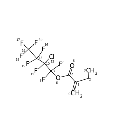 C=C(CC)C(=O)OC(F)(F)C(F)(Cl)C(F)(F)C(F)(F)F